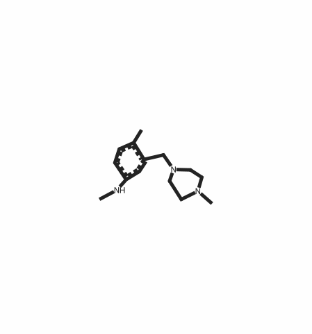 CNc1ccc(C)c(CN2CCN(C)CC2)c1